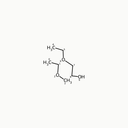 CCOC.CCOCCO